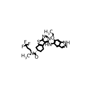 CCOc1cc2[nH]ncc2cc1Nc1ncnc2sc3c(c12)CC[C@H](C(=O)N(C)CCC(F)(F)F)C3